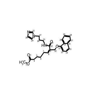 COC(=O)CCCCC=C(COc1cccc2ccccc12)C(=O)NCCCn1ccnc1